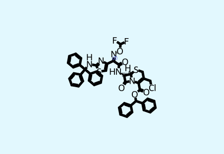 O=C(OC(c1ccccc1)c1ccccc1)C1=C(CCl)CS[C@@H]2[C@H](NC(=O)/C(=N\OC(F)F)c3csc(NC(c4ccccc4)(c4ccccc4)c4ccccc4)n3)C(=O)N12